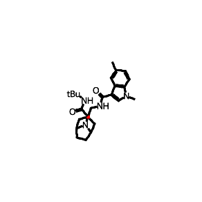 Cc1ccc2c(c1)c(C(=O)NCC1CC3CCC(C1)N3CC(=O)NC(C)(C)C)cn2C